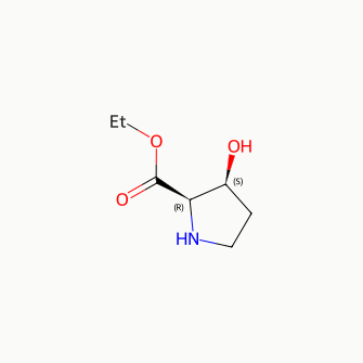 CCOC(=O)[C@@H]1NCC[C@@H]1O